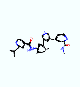 CNC(=O)c1cc(-c2cncc(-c3cc(NC(=O)c4ccnc(C(C)C)c4)ccc3C)c2)ccn1